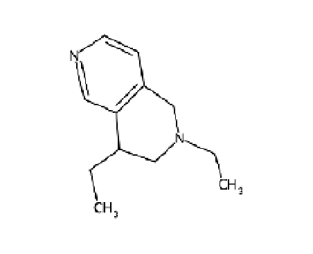 CCC1CN(CC)Cc2ccncc21